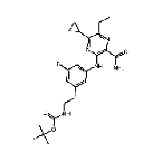 CCc1nc(C(N)=O)c(Nc2cc(F)cc(CCNC(=O)OC(C)(C)C)c2)nc1C1CC1